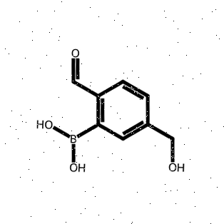 O=Cc1ccc(CO)cc1B(O)O